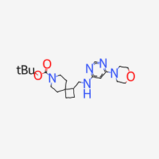 CC(C)(C)OC(=O)N1CCC2(CCC2CNc2cc(N3CCOCC3)ncn2)CC1